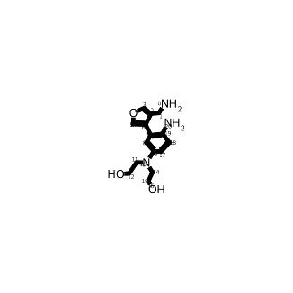 NCc1cocc1-c1cc(N(CCO)CCO)ccc1N